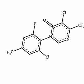 O=c1c(Cl)c(C(F)(F)F)ncn1-c1c(F)cc(C(F)(F)F)cc1Cl